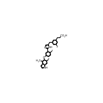 Cc1c(Oc2ccc(F)c(-c3ncc(Cc4cc(F)cc(CCC(=O)O)c4)[nH]3)c2)c(F)cc2[nH]ccc12